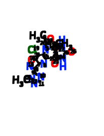 C[C@@H]1CN2c3c(nc4c(-c5ncnn5C)noc4c3Cl)CC3(C(=O)NC(=O)NC3=O)[C@H]2[C@H](C)O1